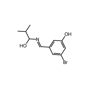 CC(C)C(O)/N=C/c1cc(O)cc(Br)c1